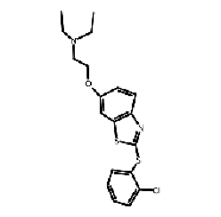 CCN(CC)CCOc1ccc2nc(Sc3ccccc3Cl)sc2c1